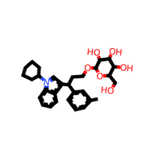 Cc1cccc(C(CCOC2OC(CO)C(O)C(O)C2O)c2cn(C3CCCCC3)c3ccccc23)c1